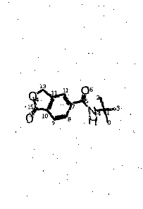 CC(C)(C)NC(=O)c1ccc2c(c1)COC2=O